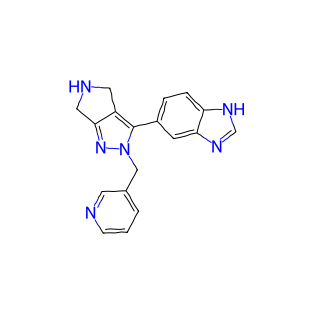 c1cncc(Cn2nc3c(c2-c2ccc4[nH]cnc4c2)CNC3)c1